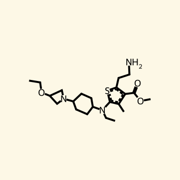 CCOC1CN(C2CCC(N(CC)c3sc(CCN)c(C(=O)OC)c3C)CC2)C1